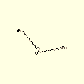 CCCCC=CCCCCCCCC(=O)OCCCCCCCCCCC(C)CC